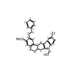 CCc1ccc2c(c1)c1c(n2CO)CN2CCc3cc(OC)c(OCc4ccccc4)cc3C2C1